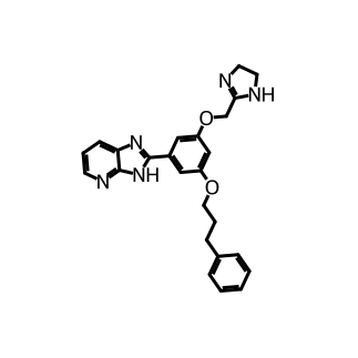 c1ccc(CCCOc2cc(OCC3=NCCN3)cc(-c3nc4cccnc4[nH]3)c2)cc1